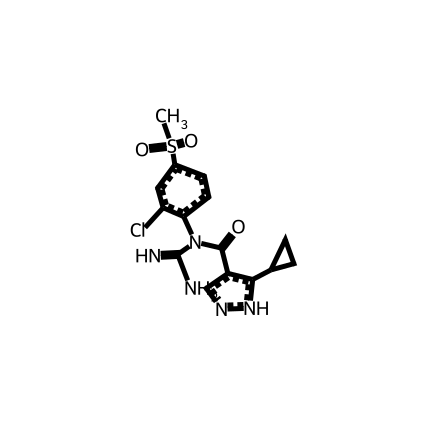 CS(=O)(=O)c1ccc(N(C(=N)N)C(=O)c2cn[nH]c2C2CC2)c(Cl)c1